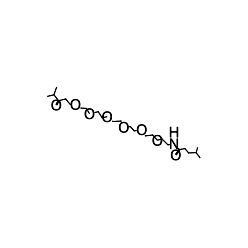 CC(C)CCC(=O)NCCOCCOCCOCCOCCOCCOCCC(=O)C(C)C